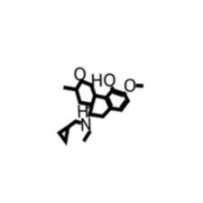 CCN(CC1CC1)[C@H]1Cc2ccc(OC)c(O)c2C2CC(=O)C(C)C[C@@H]21